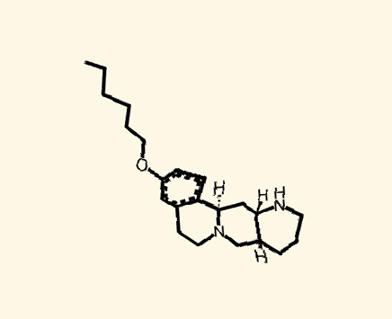 CCCCCCOc1ccc2c(c1)CCN1C[C@H]3CCCN[C@H]3C[C@H]21